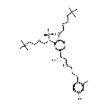 Cc1cc(Br)ccc1OCCNC[C@H](O)c1ccc(OCOCC[Si](C)(C)C)c(N(COCC[Si](C)(C)C)S(C)(=O)=O)c1